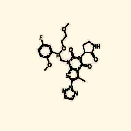 COCCO[C@@H](Cn1c(=O)n(C2CCNC2=O)c(=O)c2c(C)c(-n3nccn3)sc21)c1cc(F)ccc1OC